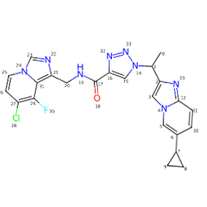 CC(c1cn2cc(C3CC3)ccc2n1)n1cc(C(=O)NCc2ncn3ccc(Cl)c(F)c23)nn1